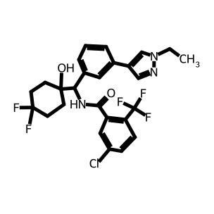 CCn1cc(-c2cccc(C(NC(=O)c3cc(Cl)ccc3C(F)(F)F)C3(O)CCC(F)(F)CC3)c2)cn1